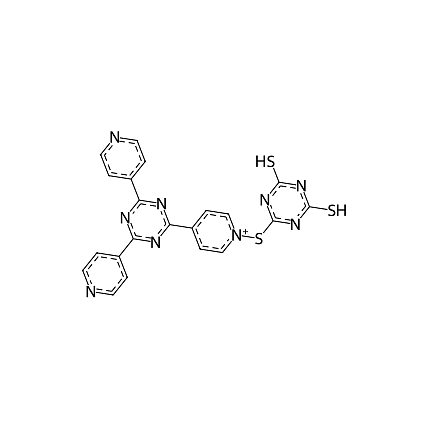 Sc1nc(S)nc(S[n+]2ccc(-c3nc(-c4ccncc4)nc(-c4ccncc4)n3)cc2)n1